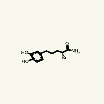 NC(=O)[C@@H](Br)CCCc1ccc(O)c(O)c1